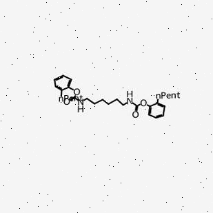 CCCCCc1ccccc1OC(=O)NCCCCCCNC(=O)Oc1ccccc1CCCCC